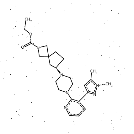 CCOC(=O)N1CC2(CC[C@@H](N3CCN(c4ncccc4-c4cc(C)n(C)n4)CC3)C2)C1